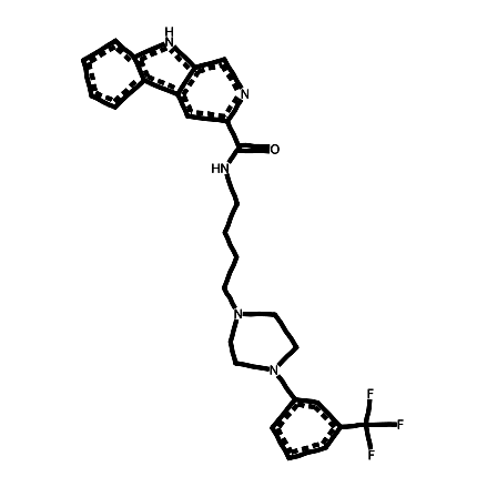 O=C(NCCCCN1CCN(c2cccc(C(F)(F)F)c2)CC1)c1cc2c(cn1)[nH]c1ccccc12